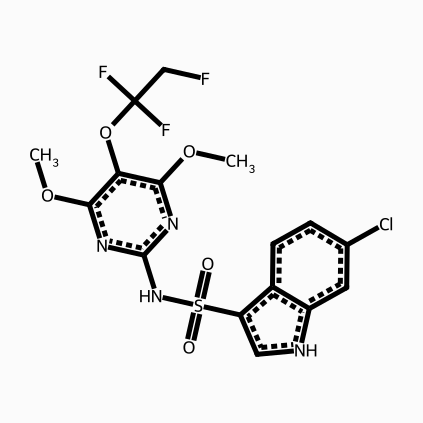 COc1nc(NS(=O)(=O)c2c[nH]c3cc(Cl)ccc23)nc(OC)c1OC(F)(F)CF